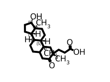 C[C@]1(CCC(=O)O)C[C@@]2(C)C(CC[C@H]3[C@@H]4CC[C@H](O)[C@@]4(C)CC[C@@H]32)CC1=O